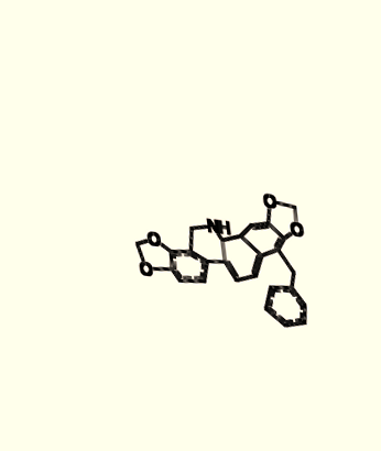 C1=C2OCOC2=C(Cc2ccccc2)C2=CC=C3c4ccc5c(c4CNC3C12)OCO5